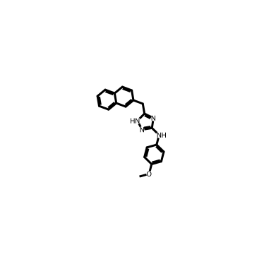 COc1ccc(Nc2n[nH]c(Cc3ccc4ccccc4c3)n2)cc1